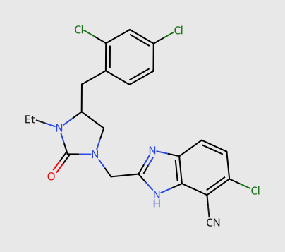 CCN1C(=O)N(Cc2nc3ccc(Cl)c(C#N)c3[nH]2)CC1Cc1ccc(Cl)cc1Cl